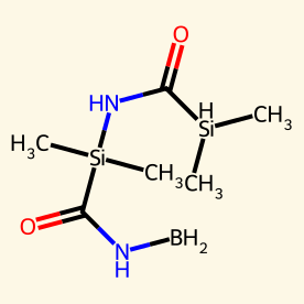 BNC(=O)[Si](C)(C)NC(=O)[SiH](C)C